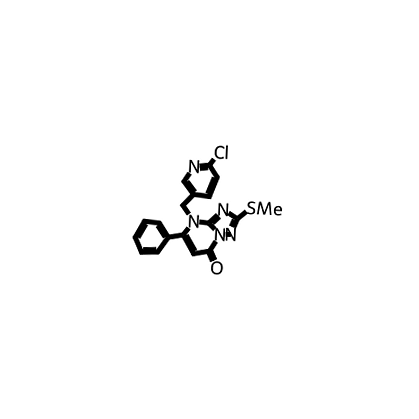 CSc1nc2n(Cc3ccc(Cl)nc3)c(-c3ccccc3)cc(=O)n2n1